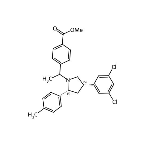 COC(=O)c1ccc(C(C)N2C[C@H](c3cc(Cl)cc(Cl)c3)C[C@@H]2c2ccc(C)cc2)cc1